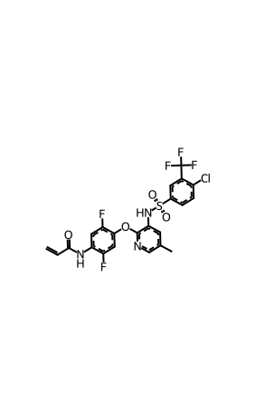 C=CC(=O)Nc1cc(F)c(Oc2ncc(C)cc2NS(=O)(=O)c2ccc(Cl)c(C(F)(F)F)c2)cc1F